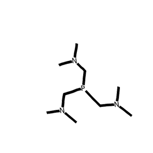 CN(C)CP(CN(C)C)CN(C)C